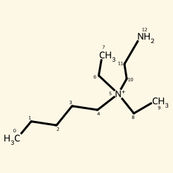 CCCCC[N+](CC)(CC)CCN